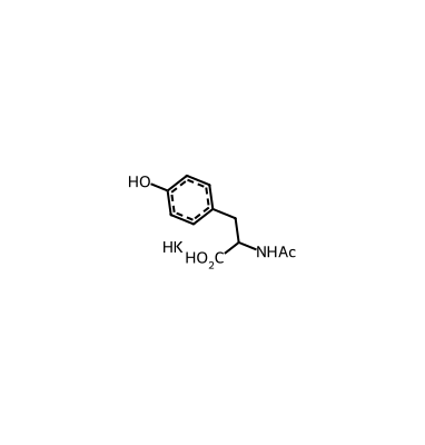 CC(=O)NC(Cc1ccc(O)cc1)C(=O)O.[KH]